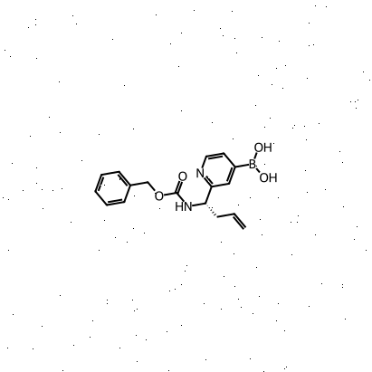 C=CC[C@H](NC(=O)OCc1ccccc1)c1cc(B(O)O)ccn1